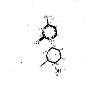 C[C@H]1O[C@H](n2ccc(N)nc2=O)CC[C@@H]1O